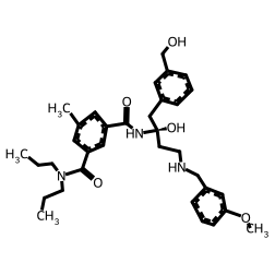 CCCN(CCC)C(=O)c1cc(C)cc(C(=O)N[C@@](O)(CCNCc2cccc(OC)c2)Cc2cccc(CO)c2)c1